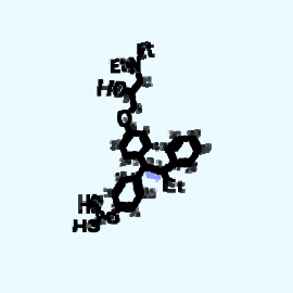 CC/C(=C(/c1ccc(OCC(O)CN(CC)CC)cc1)c1ccc(OP(O)O)cc1)c1ccccc1